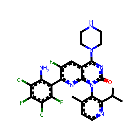 Cc1ccnc(C(C)C)c1-n1c(=O)nc(N2CCNCC2)c2cc(F)c(-c3c(N)c(Cl)c(F)c(Cl)c3F)nc21